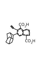 C#Cc1c(C2C3CC4CC(C3)CC2C4)cc2c(C(=O)O)cccc2c1C(=O)O